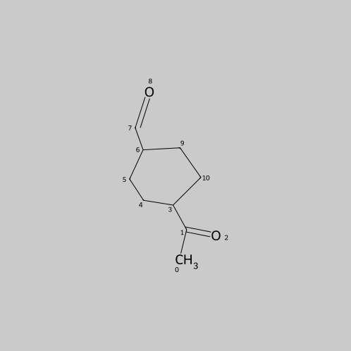 CC(=O)C1CCC(C=O)CC1